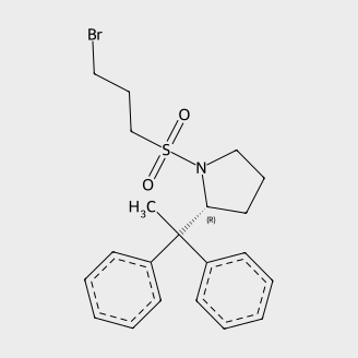 CC(c1ccccc1)(c1ccccc1)[C@H]1CCCN1S(=O)(=O)CCCBr